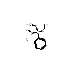 CO[B-](OC)(OC)c1ccccc1.[Li+]